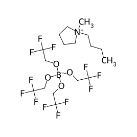 CCCC[N+]1(C)CCCC1.FC(F)(F)CO[B-](OCC(F)(F)F)(OCC(F)(F)F)OCC(F)(F)F